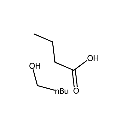 CCCC(=O)O.CCCCCO